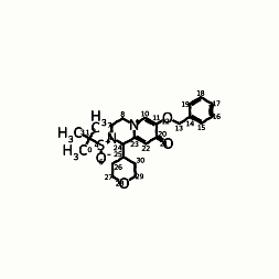 CC(C)(C)[S+]([O-])N1CCn2cc(OCc3ccccc3)c(=O)cc2C1C1CCOCC1